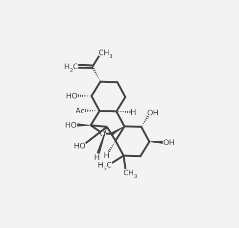 C=C(C)[C@@H]1CC[C@H]2[C@@]34CO[C@@](O)([C@@H](O)[C@@H]3C(C)(C)C[C@H](O)[C@H]4O)[C@@]2(C(C)=O)[C@@H]1O